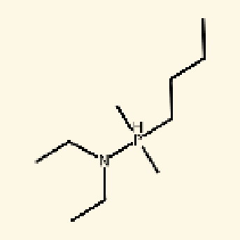 CCCC[PH](C)(C)N(CC)CC